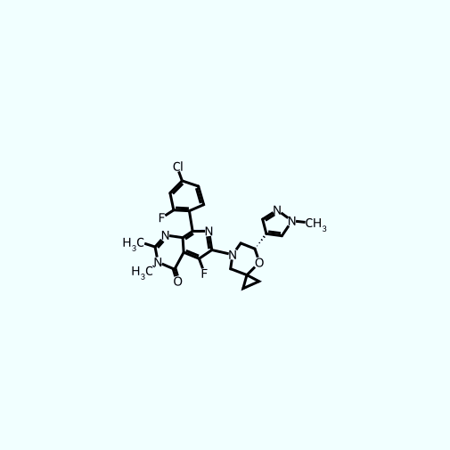 Cc1nc2c(-c3ccc(Cl)cc3F)nc(N3C[C@H](c4cnn(C)c4)OC4(CC4)C3)c(F)c2c(=O)n1C